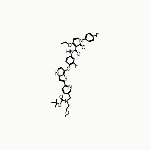 CCOc1ccn(-c2ccc(F)cc2)c(=O)c1C(=O)Nc1ccc(Oc2ccnc3cc(-c4ccc(CN(CCOC)C(=O)OC(C)(C)C)cn4)sc23)c(F)c1